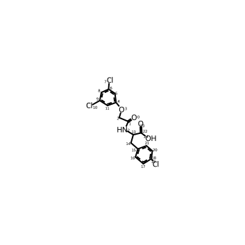 O=C(COc1cc(Cl)cc(Cl)c1)NC(Cc1ccc(Cl)cc1)C(=O)O